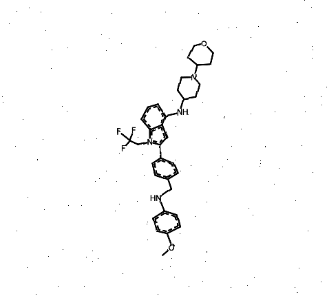 COc1ccc(NCc2ccc(-c3cc4c(NC5CCN(C6CCOCC6)CC5)cccc4n3CC(F)(F)F)cc2)cc1